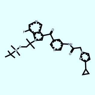 CC(C)(CO[Si](C)(C)C(C)(C)C)n1cc(C(=O)c2cncc(NC(=O)Cn3ccc(C4CC4)n3)c2)c2cncc(F)c21